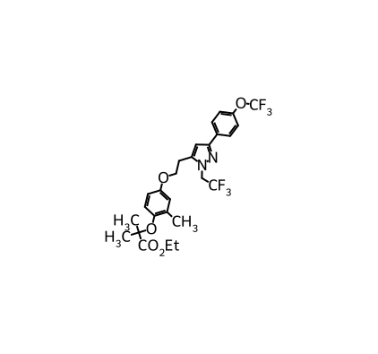 CCOC(=O)C(C)(C)Oc1ccc(OCCc2cc(-c3ccc(OC(F)(F)F)cc3)nn2CC(F)(F)F)cc1C